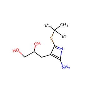 CCC(C)(CC)SC1=NC(N)=C1CC(O)CO